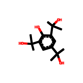 CC(C)(O)c1cc(C(C)(C)O)c(O)c(C(C)(C)O)c1